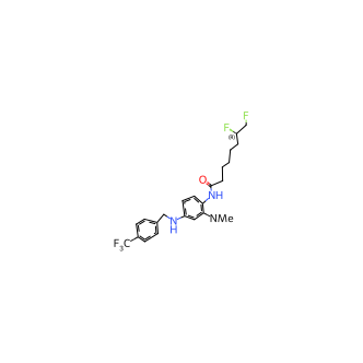 CNc1cc(NCc2ccc(C(F)(F)F)cc2)ccc1NC(=O)CCCCC[C@@H](F)CF